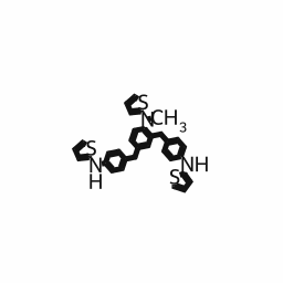 CN(c1cccs1)c1ccc(Cc2ccc(Nc3cccs3)cc2)cc1Cc1ccc(Nc2cccs2)cc1